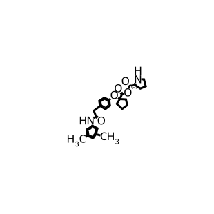 Cc1cc(C)cc(NC(=O)Cc2ccc(OC3(C(=O)OC(=O)[C@@H]4CCCN4)CCCC3)cc2)c1